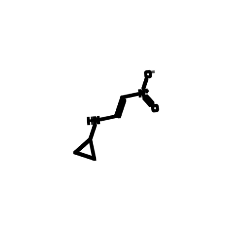 O=[N+]([O-])C=CNC1CC1